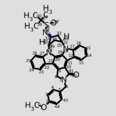 COc1ccc(CN2Cc3c(c4c5ccccc5n5c4c4c3c3ccccc3n4[C@@H]3C[C@H]5C/C3=N\[S+]([O-])C(C)(C)C)C2=O)cc1